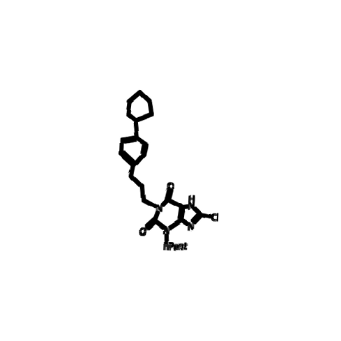 CCCCCn1c(=O)n(CCCc2ccc(C3CCCCC3)cc2)c(=O)c2[nH]c(Cl)nc21